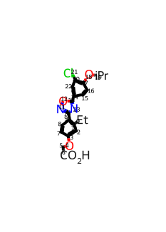 CCc1cc(OCC(=O)O)ccc1-c1noc(-c2ccc(OC(C)C)c(Cl)c2)n1